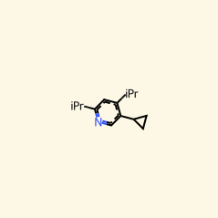 CC(C)c1cc(C(C)C)c(C2CC2)cn1